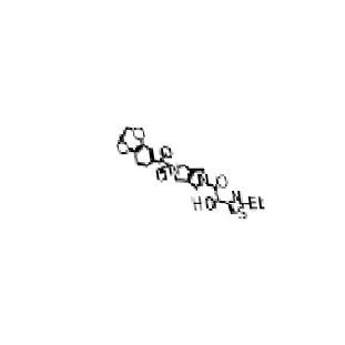 CCc1nc(C(O)C(=O)N2CC3=C(C2)CN(S(=O)(=O)c2ccc4c(c2)OCCO4)C3)cs1